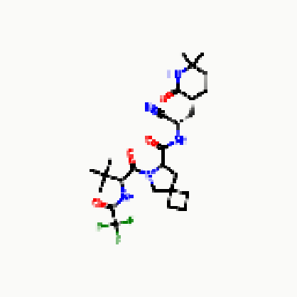 CC1(C)CC[C@@H](C[C@@H](C#N)NC(=O)C2CC3(CCC3)CN2C(=O)[C@@H](NC(=O)C(F)(F)F)C(C)(C)C)C(=O)N1